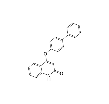 O=c1cc(Oc2ccc(-c3ccccc3)cc2)c2ccccc2[nH]1